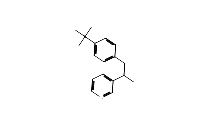 CC(Cc1ccc(C(C)(C)C)cc1)c1cccnc1